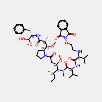 CC[C@H](C)[C@@H]([C@@H](CC(=O)N1CCC[C@H]1[C@H](OC)[C@@H](C)C(=O)N[C@@H](Cc1ccccc1)C(O)O)OC)N(C)C(=O)[C@@H](NC(=O)[C@@H](NCCON1C(=O)c2ccccc2C1=O)C(C)C)C(C)C